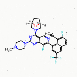 C#Cc1c(F)ccc2cc(C(F)(F)F)cc(-c3ncc4c(N5C[C@H]6CC[C@@H](C5)O6)nc(N5CCN(C)CC5)nc4c3F)c12